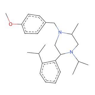 COc1ccc(CN2CC(c3ccccc3C(C)C)N(C(C)C)CC2C)cc1